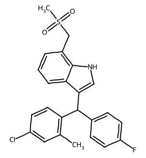 Cc1cc(Cl)ccc1C(c1ccc(F)cc1)c1c[nH]c2c(CS(C)(=O)=O)cccc12